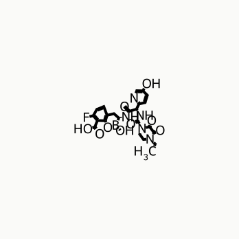 CCN1CCN(C(=O)NC(C(=O)N[C@H]2Cc3ccc(F)c(C(=O)O)c3OB2O)c2ccc(O)cn2)C(=O)C1=O